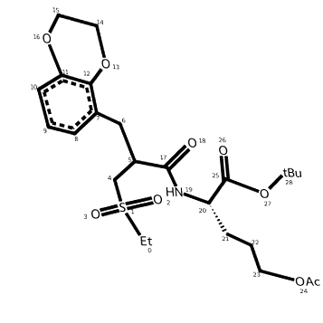 CCS(=O)(=O)CC(Cc1cccc2c1OCCO2)C(=O)N[C@@H](CCCOC(C)=O)C(=O)OC(C)(C)C